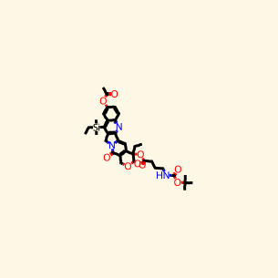 CCC1(OC(=O)CCCNC(=O)OC(C)(C)C)C(=O)OCc2c1cc1n(c2=O)Cc2c-1nc1ccc(OC(C)=O)cc1c2[Si](C)(C)CC